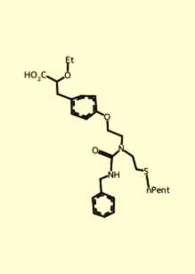 CCCCCSCCN(CCOc1ccc(CC(OCC)C(=O)O)cc1)C(=O)NCc1ccccc1